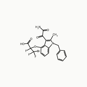 Cc1c(C(=O)C(N)=O)c2c(OC(F)(C(=O)O)C(F)(F)Br)cccc2n1Cc1ccccc1